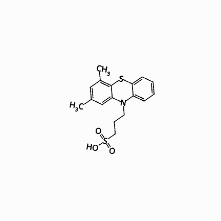 Cc1cc(C)c2c(c1)N(CCCS(=O)(=O)O)c1ccccc1S2